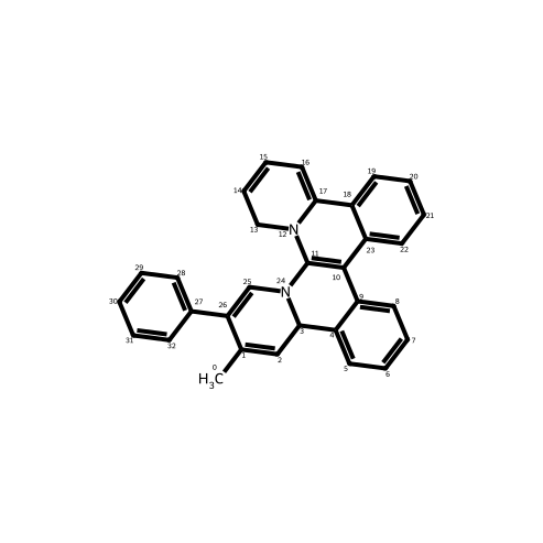 CC1=CC2c3ccccc3C3=C(N4CC=CC=C4c4ccccc43)N2C=C1c1ccccc1